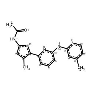 CC(=O)Nc1cc(C)c(-c2cccc(Nc3cc(C)ccn3)n2)s1